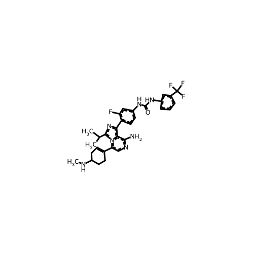 CNC1CC=C(c2cnc(N)c3c(-c4ccc(NC(=O)Nc5cccc(C(F)(F)F)c5)cc4F)nc(C(C)C)n23)CC1